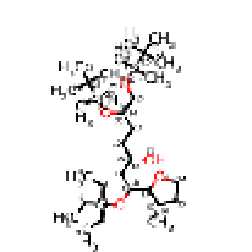 CC[Si](CC)(CC)O[C@@H](C[C@@H](O)CC[C@H](CO[Si](C)(C)C(C)(C)C)O[Si](C)(C)C(C)(C)C)C1OCC[C@@H]1C